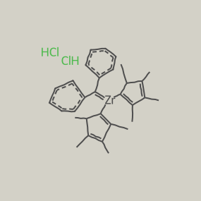 CC1=C(C)C(C)[C]([Zr]([C]2=C(C)C(C)=C(C)C2C)=[C](c2ccccc2)c2ccccc2)=C1C.Cl.Cl